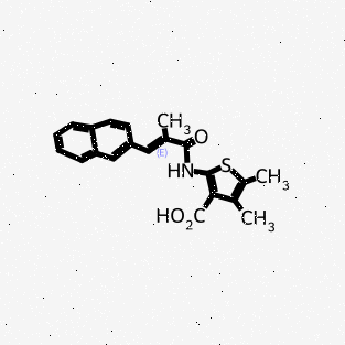 C/C(=C\c1ccc2ccccc2c1)C(=O)Nc1sc(C)c(C)c1C(=O)O